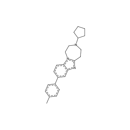 Cc1ccc(-c2ccc3c(c2)nc2n3CCN(C3CCCC3)CC2)cc1